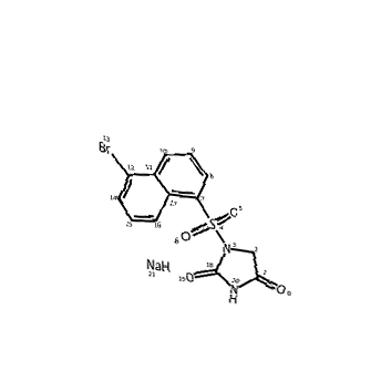 O=C1CN(S(=O)(=O)c2cccc3c(Br)cccc23)C(=O)N1.[NaH]